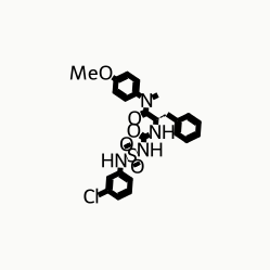 COc1ccc(N(C)C(=O)[C@H](Cc2ccccc2)NC(=O)NS(=O)(=O)Nc2cccc(Cl)c2)cc1